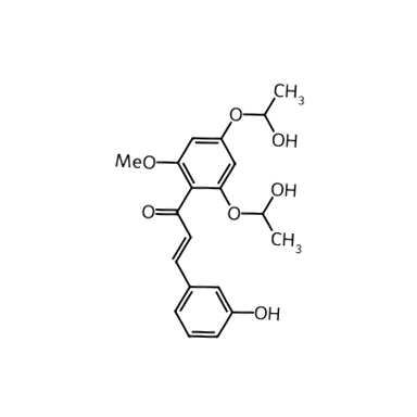 COc1cc(OC(C)O)cc(OC(C)O)c1C(=O)/C=C/c1cccc(O)c1